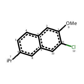 COc1cc2ccc(C(C)C)cc2cc1Cl